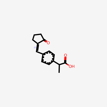 CC(C(=O)O)c1ccc(/C=C2/CCCC2=O)cc1